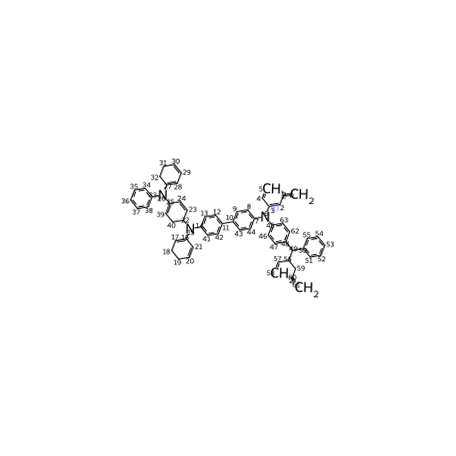 C=C/C=C(\C=C)N(c1ccc(-c2ccc(N(C3=CCCC=C3)C3C=CC(N(C4=CC=CCC4)c4ccccc4)=CC3)cc2)cc1)c1ccc(C(c2ccccc2)C(C=C)CC=C)cc1